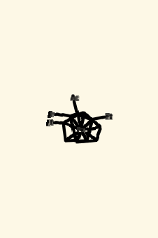 CC[C]12[CH]3[CH]4[C]5(CC)[C]1(C(C)=O)[Fe]34251678[CH]2[CH]1[CH]6[C]7(Br)[CH]28